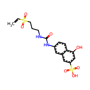 C=CS(=O)(=O)CCCNC(=O)Nc1ccc2c(O)cc(S(=O)(=O)O)cc2c1